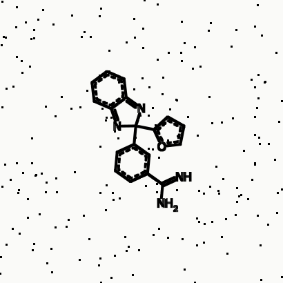 N=C(N)c1cccc(C2(c3ccco3)N=c3ccccc3=N2)c1